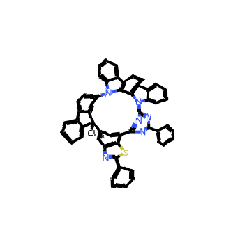 CC12c3cc(c4sc(-c5ccccc5)nc4c3)-c3nc(-c4ccccc4)nc(n3)-n3c4ccccc4c4ccc5c6ccccc6n(c5c43)-c3ccc(c1c3)-c1ccccc12